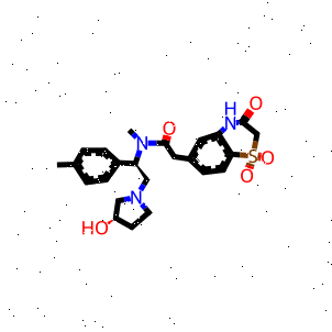 Cc1ccc([C@H](CN2CC[C@H](O)C2)N(C)C(=O)Cc2ccc3c(c2)NC(=O)CS3(=O)=O)cc1